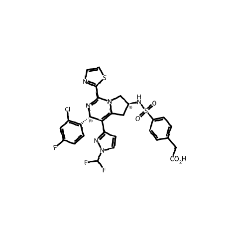 O=C(O)Cc1ccc(S(=O)(=O)N[C@H]2CC3=C(c4ccn(C(F)F)n4)[C@H](c4ccc(F)cc4Cl)N=C(c4nccs4)N3C2)cc1